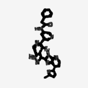 Cc1ccc(-c2ccnc3[nH]c(-c4n[nH]c5cnc(-c6cncc(NC(=O)Cc7ccccc7)c6)c(F)c45)nc23)s1